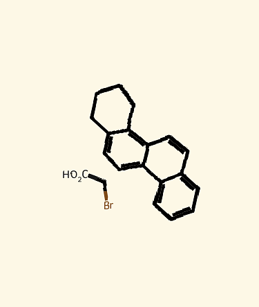 O=C(O)CBr.c1ccc2c(c1)ccc1c3c(ccc12)CCCC3